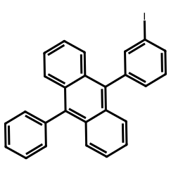 Ic1cccc(-c2c3ccccc3c(-c3ccccc3)c3ccccc23)c1